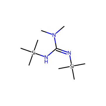 CN(C)C(=N[Si](C)(C)C)N[Si](C)(C)C